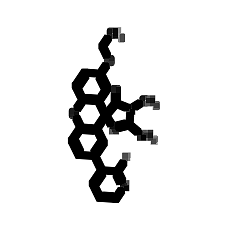 CN1C(=O)C2(N=C1N)c1cc(OCC(F)(F)F)ccc1Oc1ccc(-c3cccnc3F)cc12